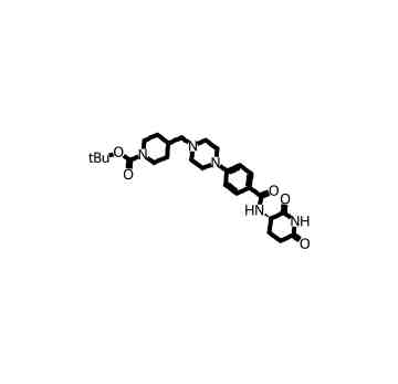 CC(C)(C)OC(=O)N1CCC(CN2CCN(c3ccc(C(=O)N[C@H]4CCC(=O)NC4=O)cc3)CC2)CC1